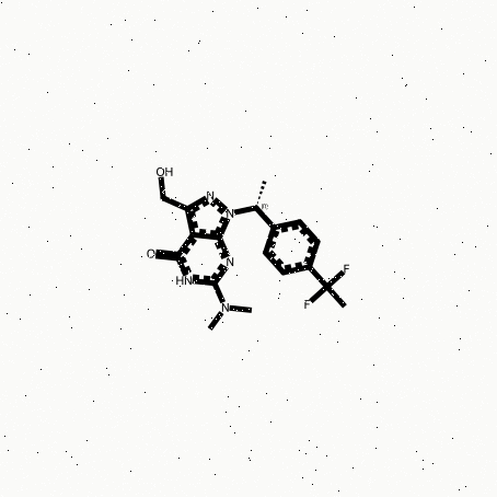 C[C@H](c1ccc(C(C)(F)F)cc1)n1nc(CO)c2c(=O)[nH]c(N(C)C)nc21